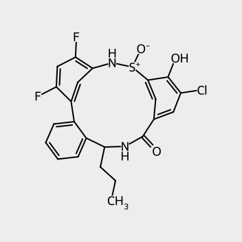 CCCC1NC(=O)c2cc(Cl)c(O)c(c2)[S+]([O-])Nc2cc(c(F)cc2F)-c2ccccc21